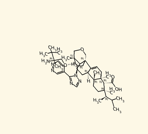 CC(C)[C@@H](C)[C@@]1(C)CC[C@]2(C)[C@H]3CC[C@@H]4[C@@]5(COC[C@@]4(C)[C@@H](OC[C@](C)(N)C(C)(C)C)[C@H](n4ncnc4-c4ccnnc4)C5)C3=CC[C@@]2(C)[C@@H]1C(=O)O